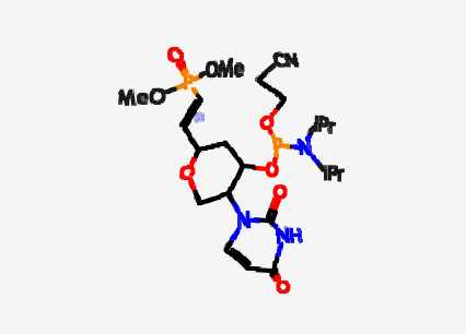 COP(=O)(/C=C/C1CC(OP(OCCC#N)N(C(C)C)C(C)C)C(n2ccc(=O)[nH]c2=O)CO1)OC